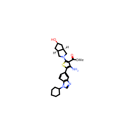 COC(=O)c1c(N2C[C@H]3C[C@@H](O)C[C@H]3C2)sc(-c2ccc3c(c2)ncn3C2CCCCC2)c1N